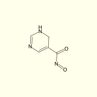 O=NC(=O)C1=CN=CNC1